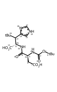 CC(C)(C)OC(=O)N[C@@H](CC(=O)O)C(=O)N[C@H](C(=O)O)C(c1c[nH]cn1)C(C)(C)C